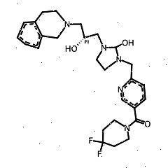 O=C(c1ccc(CN2CCN(C[C@H](O)CN3CCc4ccccc4C3)C2O)nc1)N1CCC(F)(F)CC1